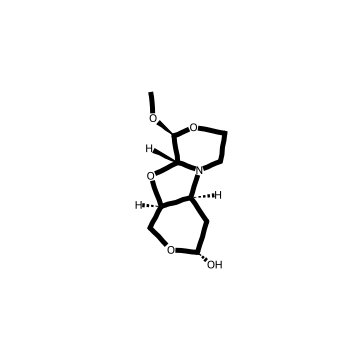 CO[C@H]1OCCN2[C@@H]1O[C@@H]1CO[C@@H](O)C[C@@H]12